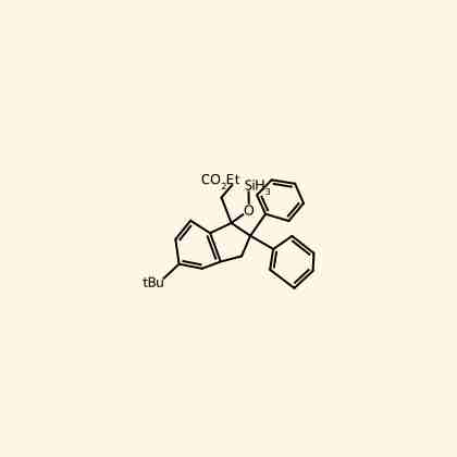 CCOC(=O)CC1(O[SiH3])c2ccc(C(C)(C)C)cc2CC1(c1ccccc1)c1ccccc1